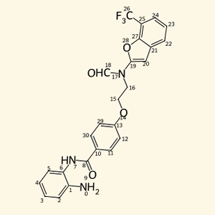 Nc1ccccc1NC(=O)c1ccc(OCCN(C=O)c2cc3cccc(C(F)(F)F)c3o2)cc1